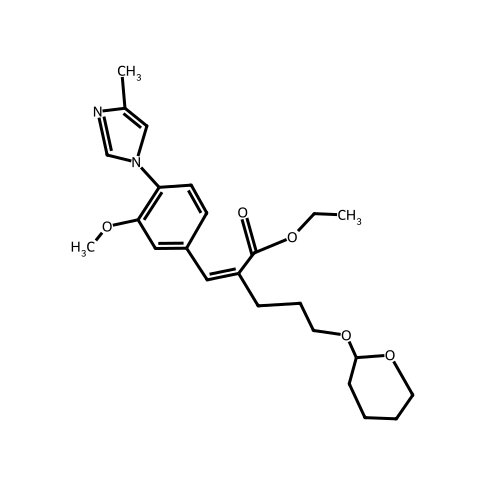 CCOC(=O)/C(=C\c1ccc(-n2cnc(C)c2)c(OC)c1)CCCOC1CCCCO1